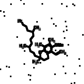 C=Cc1c2c(c(C)c(C)c1OC)OC(C)(CCCC(C)CCCC(C)CCCC(C)C)CC2